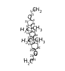 C=CCOC1=CC=C(C(C)(C)c2ccc(C(C)(C)C3=CC=C(OCC=C)CC3)cc2)CC1